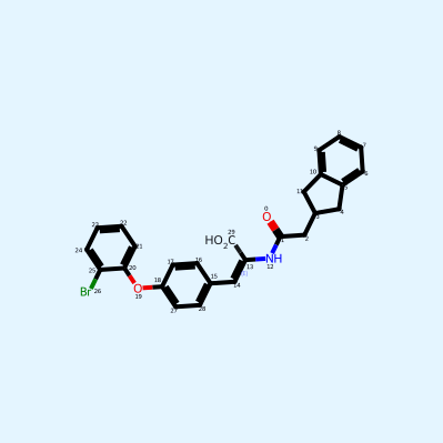 O=C(CC1Cc2ccccc2C1)N/C(=C/c1ccc(Oc2ccccc2Br)cc1)C(=O)O